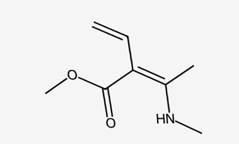 C=C/C(C(=O)OC)=C(\C)NC